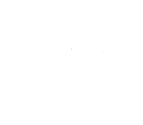 CCC1C(n2c3ccccc3c3ccccc32)=NC(c2ccc(-c3ccc4ccccc4c3)cc2)=NC1c1cccc(-c2ccccc2)c1